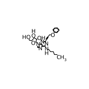 CCCCCCNc1nc(C#CCOc2ccccc2)nc2c1ncn2C1OC(CO)C(O)C1O